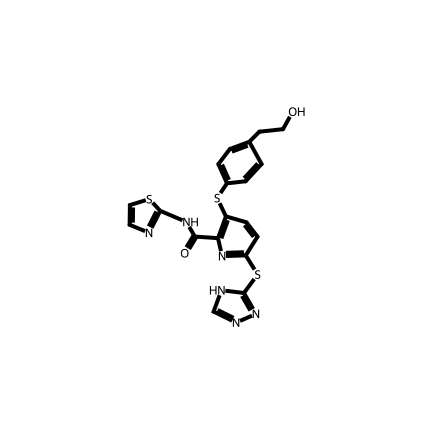 O=C(Nc1nccs1)c1nc(Sc2nnc[nH]2)ccc1Sc1ccc(CCO)cc1